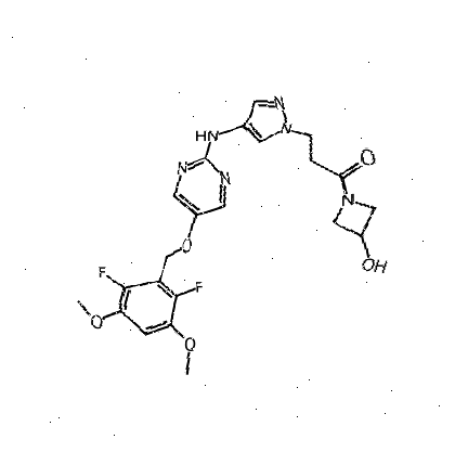 COc1cc(OC)c(F)c(COc2cnc(Nc3cnn(CCC(=O)N4CC(O)C4)c3)nc2)c1F